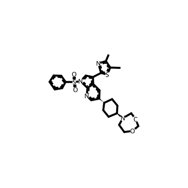 Cc1nc(-c2cn(S(=O)(=O)c3ccccc3)c3ncc([C@H]4CC[C@H](N5CCCOCC5)CC4)cc23)sc1C